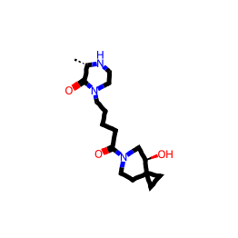 C[C@@H]1NCCN(CCCCC(=O)N2CCC3(CC3)[C@H](O)C2)C1=O